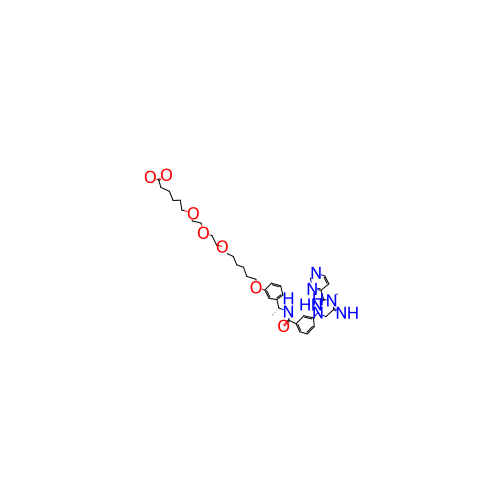 COC(=O)CCCCCOCCOCCOCCCCCCOc1cccc([C@@H](C)NC(=O)c2cccc(NCC(=N)N(C)C(=N)c3ccncn3)c2)c1